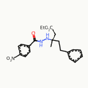 CCOC(=O)CC(C)(CCc1ccccc1)NNC(=O)c1ccc([N+](=O)[O-])cc1